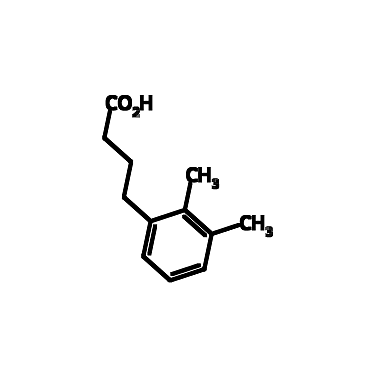 Cc1cccc(CCCC(=O)O)c1C